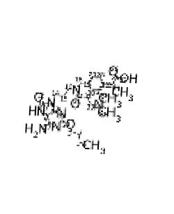 CCCCOc1nc(N)c2[nH]c(=O)n(CCCN(Cc3ccc(C(C)C(=O)O)cc3)C(=O)CCN(C)C)c2n1